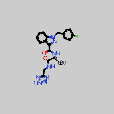 CC(C)(C)[C@H](NC(=O)c1nn(Cc2ccc(F)cc2)c2ccccc12)C(=O)NCc1nn[nH]n1